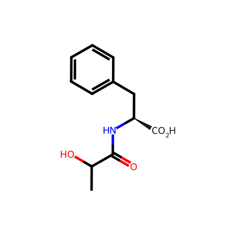 CC(O)C(=O)N[C@@H](Cc1ccccc1)C(=O)O